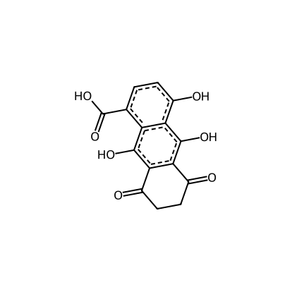 O=C1CCC(=O)c2c1c(O)c1c(O)ccc(C(=O)O)c1c2O